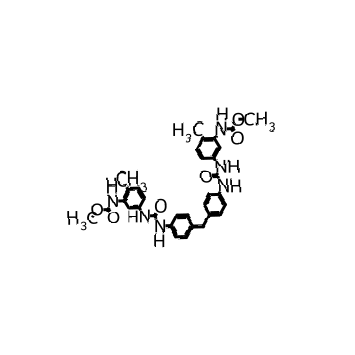 COC(=O)Nc1cc(NC(=O)Nc2ccc(Cc3ccc(NC(=O)Nc4ccc(C)c(NC(=O)OC)c4)cc3)cc2)ccc1C